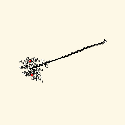 CCCC(N(CC(CCCCCCNC(=O)CCCCCCCCCCC=CCCCCCCCCCCC=CCCCCCCCCCCCN=[N+]=[N-])CN(C(=O)OC(C)(C)C)C(CCC)N(C(=O)OC(C)(C)C)C(CC)N(C)C(=O)OC(C)(C)C)C(=O)OC(C)(C)C)N(C(=O)OC(C)(C)C)C(CC)N(C)C(=O)OC(C)(C)C